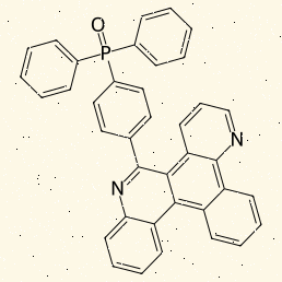 O=P(c1ccccc1)(c1ccccc1)c1ccc(-c2nc3ccccc3c3c4ccccc4c4ncccc4c23)cc1